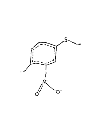 [CH2]c1ccc(SC)cc1[N+](=O)[O-]